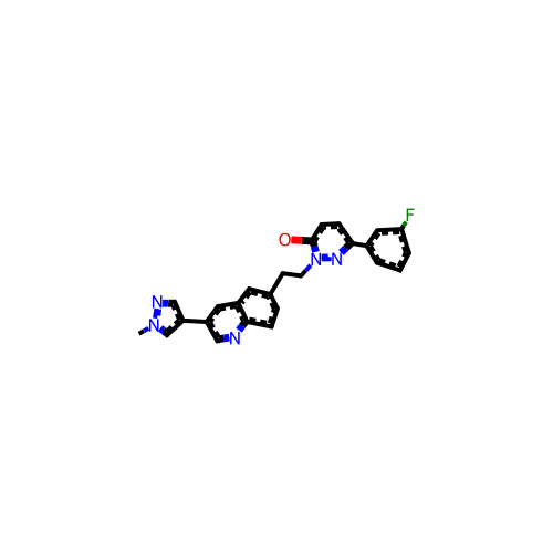 Cn1cc(-c2cnc3ccc(CCn4nc(-c5cccc(F)c5)ccc4=O)cc3c2)cn1